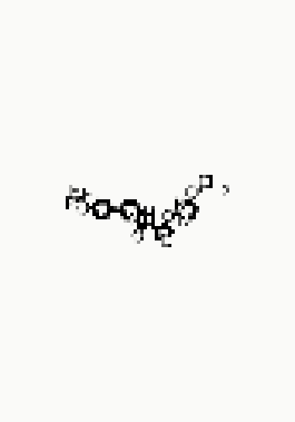 CCOc1ccnc(OC2COCC2n2nc3ccc(-c4ccc(OC(F)(F)F)cc4)cn3c2=O)n1